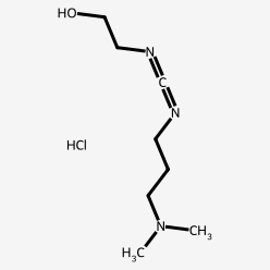 CN(C)CCCN=C=NCCO.Cl